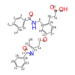 Cc1ccc(C(=O)NCc2cc(OCCc3nc(-c4ccccc4)oc3C)ccc2CCC(=O)O)cc1C